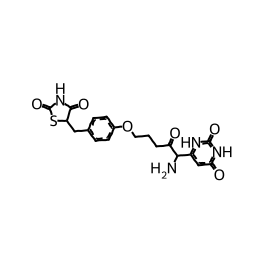 NC(C(=O)CCCOc1ccc(CC2SC(=O)NC2=O)cc1)c1cc(=O)[nH]c(=O)[nH]1